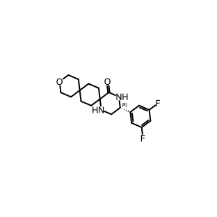 O=C1N[C@H](c2cc(F)cc(F)c2)CNC12CCC1(CCOCC1)CC2